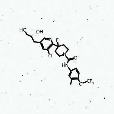 Cc1cc(NC(=O)N2CCC(F)(c3ncc(C[C@@H](O)CO)cc3Cl)CC2)ccc1OC(F)(F)F